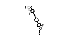 C=CCCOc1ccc(C2CCC(C#Cc3ccc(C(C)O)c(F)c3F)CC2)cc1F